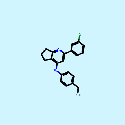 N#CCc1ccc(Nc2cc(-c3cccc(Cl)c3)nc3c2CCC3)cc1